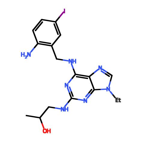 CCn1cnc2c(NCc3cc(I)ccc3N)nc(NCC(C)O)nc21